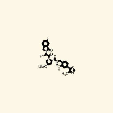 Cc1ncsc1-c1ccc(CNC(=O)[C@@H]2C[C@@H](OC(C)(C)C)CN2C(=O)C(C(C)C)N2Cc3ccc(F)cc3C2=O)c(O)c1